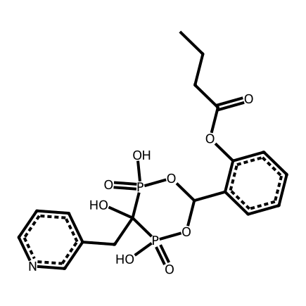 CCCC(=O)Oc1ccccc1C1OP(=O)(O)C(O)(Cc2cccnc2)P(=O)(O)O1